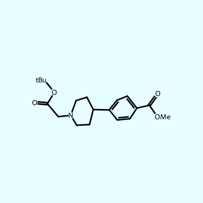 COC(=O)c1ccc(C2CCN(CC(=O)OC(C)(C)C)CC2)cc1